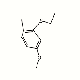 CCSc1cc(OC)ccc1C